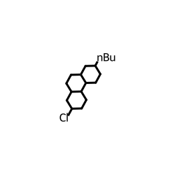 CCCCC1CCC2C(CCC3CC(Cl)CCC32)C1